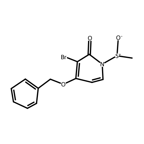 C[S+]([O-])n1ccc(OCc2ccccc2)c(Br)c1=O